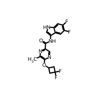 Cc1nc(C(=O)Nc2c[nH]c3cc(F)c(F)cc23)cnc1OC1CC(F)(F)C1